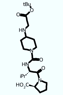 CC(C)[C@H](NC(=O)N1CCC(NCC(=O)OC(C)(C)C)CC1)C(=O)N1CCC[C@H]1C(=O)O